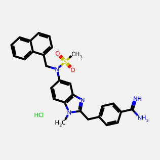 Cl.Cn1c(Cc2ccc(C(=N)N)cc2)nc2cc(N(Cc3cccc4ccccc34)S(C)(=O)=O)ccc21